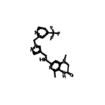 Cc1nc(NCc2cnn(Cc3cc(C(F)(F)F)ccn3)c2)cc2c1NC(=O)CN2C